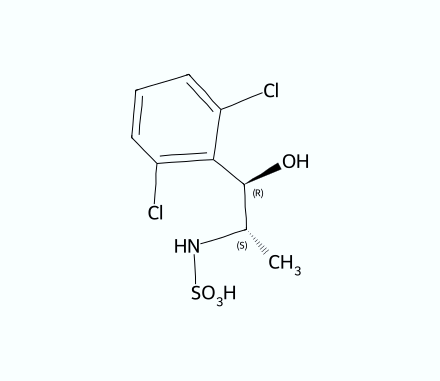 C[C@H](NS(=O)(=O)O)[C@H](O)c1c(Cl)cccc1Cl